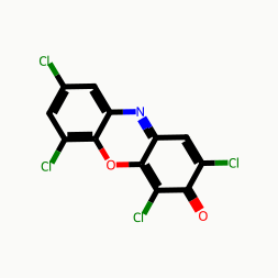 O=c1c(Cl)cc2nc3cc(Cl)cc(Cl)c3oc-2c1Cl